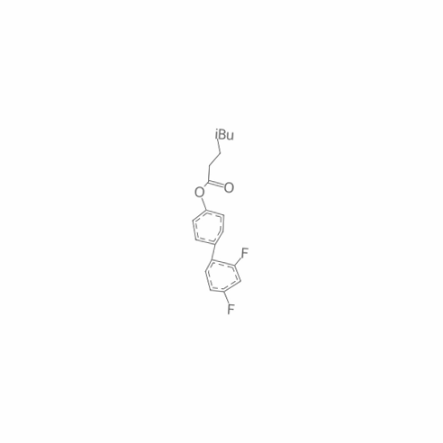 CCC(C)CCC(=O)Oc1ccc(-c2ccc(F)cc2F)cc1